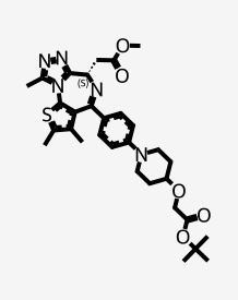 COC(=O)C[C@@H]1N=C(c2ccc(N3CCC(OCC(=O)OC(C)(C)C)CC3)cc2)c2c(sc(C)c2C)-n2c(C)nnc21